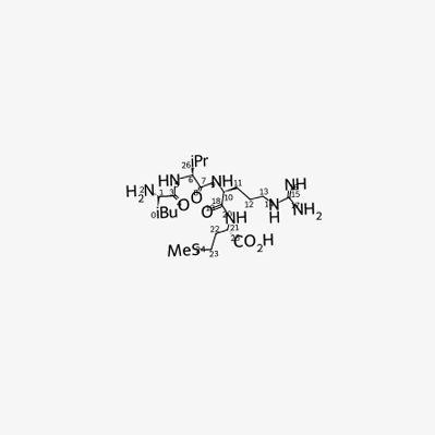 CC[C@H](C)[C@H](N)C(=O)N[C@H](C(=O)N[C@@H](CCCNC(=N)N)C(=O)N[C@@H](CCSC)C(=O)O)C(C)C